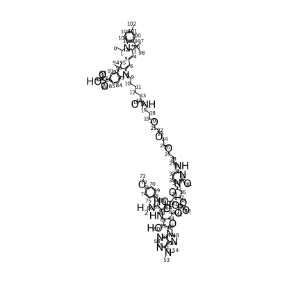 CC[N+]1=C(/C=C/C=C2/N(CCCCCC(=O)NCCCOCCOCCOCCCNc3ccn([C@H]4C[C@@H](OP(=O)(O)OC[C@H]5O[C@@H](n6cnc7c(N(C)C)ncnc76)C(O)[C@H]5NC(=O)C(N)Cc5ccc(OC)cc5)[C@@H](CO)O4)c(=O)n3)c3ccc(S(=O)(=O)O)cc3C2(C)C)C(C)(C)c2cc(C)ccc21